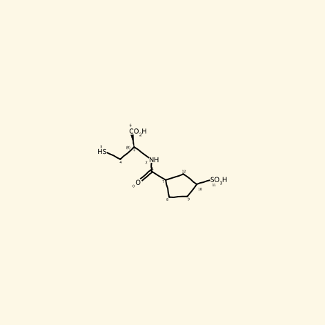 O=C(N[C@@H](CS)C(=O)O)C1CCC(S(=O)(=O)O)C1